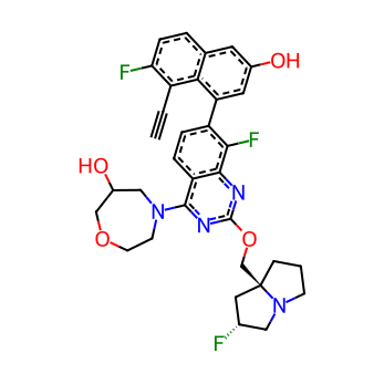 C#Cc1c(F)ccc2cc(O)cc(-c3ccc4c(N5CCOCC(O)C5)nc(OC[C@@]56CCCN5C[C@H](F)C6)nc4c3F)c12